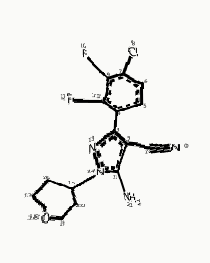 N#Cc1c(-c2ccc(Cl)c(F)c2F)nn(C2CCOCC2)c1N